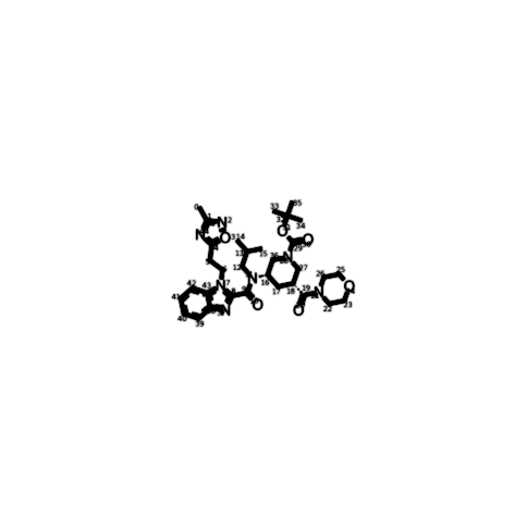 Cc1noc(CCn2c(C(=O)N(CC(C)C)[C@H]3C[C@@H](C(=O)N4CCOCC4)CN(C(=O)OC(C)(C)C)C3)nc3ccccc32)n1